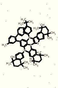 Cc1ccc(-c2ccccc2)c(-c2cc3c4c(c2)N(c2ccc(C(C)(C)C)cc2)c2c(sc5cc6c(cc25)C(C)(C)CCC6(C)C)B4c2cc4c(cc2N3c2ccc3c(c2)C(C)(C)CCC3(C)C)C(C)(C)CCC4(C)C)c1